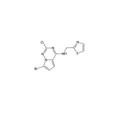 Clc1nc(NCc2nccs2)c2ccc(Br)n2n1